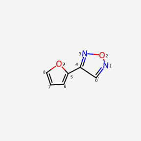 [c]1nonc1-c1ccco1